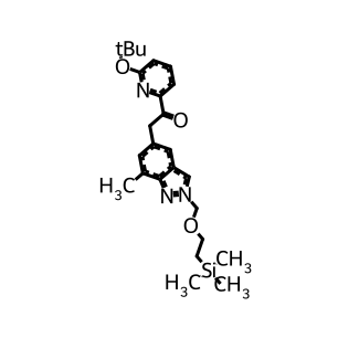 Cc1cc(CC(=O)c2cccc(OC(C)(C)C)n2)cc2cn(COCC[Si](C)(C)C)nc12